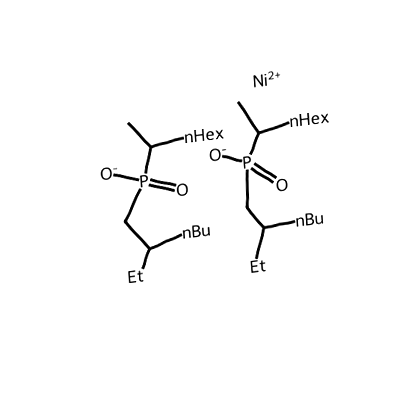 CCCCCCC(C)P(=O)([O-])CC(CC)CCCC.CCCCCCC(C)P(=O)([O-])CC(CC)CCCC.[Ni+2]